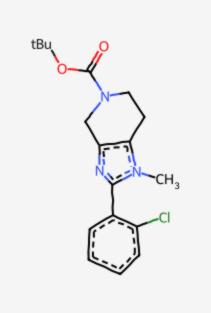 Cn1c(-c2ccccc2Cl)nc2c1CCN(C(=O)OC(C)(C)C)C2